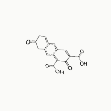 O=C1CC=c2cc3c(cc2C1)=C(C(=O)O)C(=O)C(C(=O)O)=C3